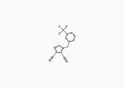 N#Cc1ncn(Cc2cccc(C(F)(F)F)c2)c1C#N